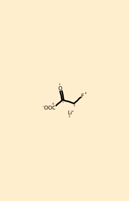 O=C([O-])C(=O)CF.[Li+]